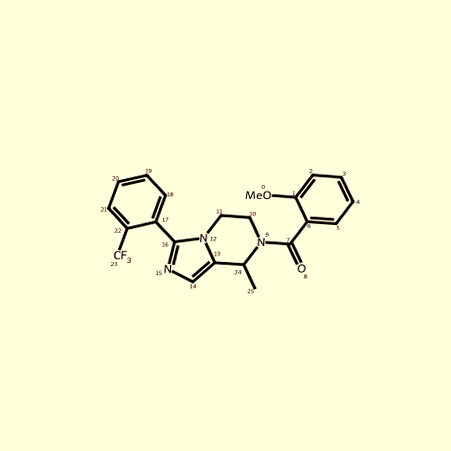 COc1ccccc1C(=O)N1CCn2c(cnc2-c2ccccc2C(F)(F)F)C1C